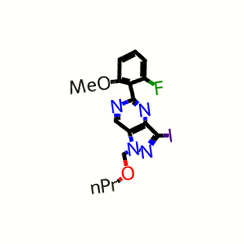 CCCOCn1nc(I)c2nc(-c3c(F)cccc3OC)ncc21